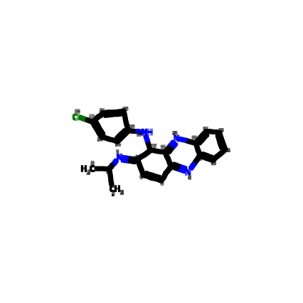 CC(C)N=C1C=Cc2nc3ccccc3nc2C1Nc1ccc(Cl)cc1